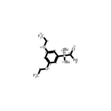 CC(C)(C)[PH](c1cc(OCC(F)(F)F)cc(OCC(F)(F)F)c1)([CH](Cl)[Pd])C(C)(C)C